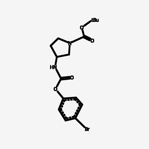 CC(C)(C)OC(=O)N1CCC(NC(=O)Oc2ccc(Br)cc2)C1